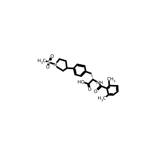 Cc1cccc(C)c1C(=O)N[C@@H](Cc1ccc(C2CCN(S(C)(=O)=O)CC2)cc1)C(=O)O